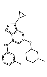 CN1CCCC(Oc2cc(Nc3cccc(F)c3)c3ncc(C4CC4)n3n2)C1